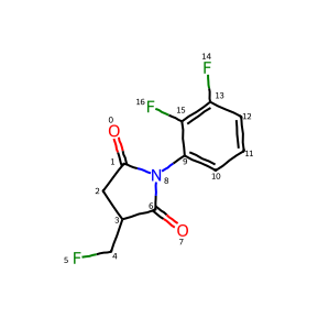 O=C1CC(CF)C(=O)N1c1cccc(F)c1F